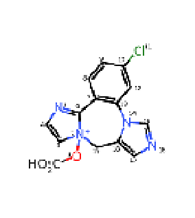 O=C(O)O[N+]12C=CN=C1c1ccc(Cl)cc1-n1cncc1C2